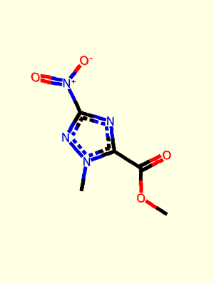 COC(=O)c1nc([N+](=O)[O-])nn1C